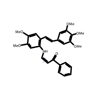 COc1cc(C=Cc2cc(OC)c(OC)c(OC)c2)c(N/C=C\C(=O)c2ccccc2)cc1OC